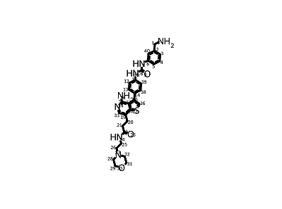 NCc1cccc(NC(=O)Nc2ccc(-c3csc4c(CCC(=O)NCCN5CCOCC5)cnc(N)c34)cc2)c1